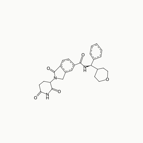 O=C1CCC(N2Cc3cc(C(=O)N[C@@H](c4ccccc4)C4CCOCC4)ccc3C2=O)C(=O)N1